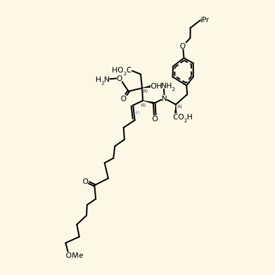 COCCCCCCC(=O)CCCCCC/C=C/[C@H](C(=O)N(N)[C@@H](Cc1ccc(OCCC(C)C)cc1)C(=O)O)[C@@](O)(CC(=O)O)C(=O)ON